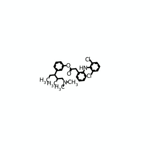 CCC(c1cccc(OC(=O)Cc2ccccc2Nc2c(Cl)cccc2Cl)c1)C(C)CN(C)C